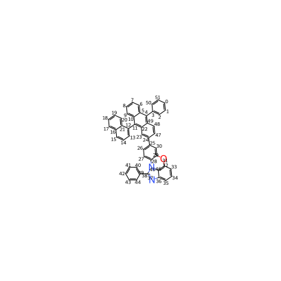 c1ccc(-c2c3ccccc3c(-c3cccc4ccccc34)c3cc(-c4ccc5c(c4)Oc4cccc6nc(-c7ccccc7)n-5c46)ccc23)cc1